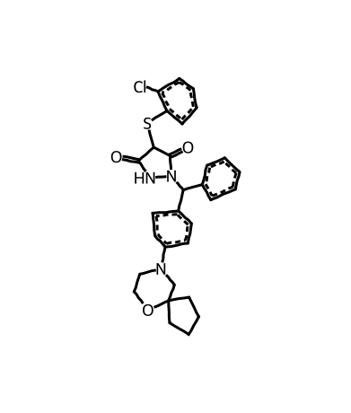 O=C1NN(C(c2ccccc2)c2ccc(N3CCOC4(CCCC4)C3)cc2)C(=O)C1Sc1ccccc1Cl